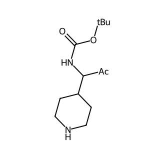 CC(=O)C(NC(=O)OC(C)(C)C)C1CCNCC1